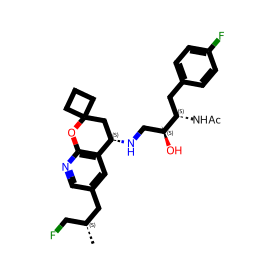 CC(=O)N[C@@H](Cc1ccc(F)cc1)[C@@H](O)CN[C@H]1CC2(CCC2)Oc2ncc(C[C@H](C)CF)cc21